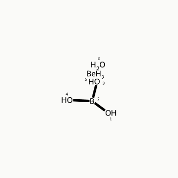 O.OB(O)O.[BeH2]